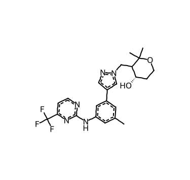 Cc1cc(Nc2nccc(C(F)(F)F)n2)cc(-c2cnn(CC3[C@@H](O)CCOC3(C)C)c2)c1